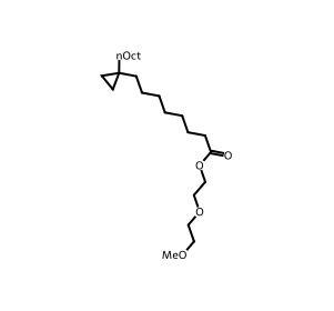 CCCCCCCCC1(CCCCCCCC(=O)OCCOCCOC)CC1